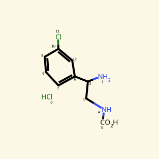 Cl.NC(CNC(=O)O)c1cccc(Cl)c1